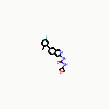 Cc1ccc(F)cc1-c1ccc2cc(NC(=O)NC3COC3)ncc2c1